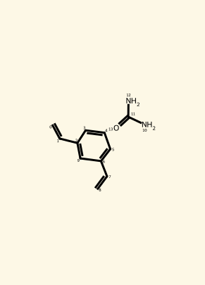 C=Cc1cccc(C=C)c1.NC(N)=O